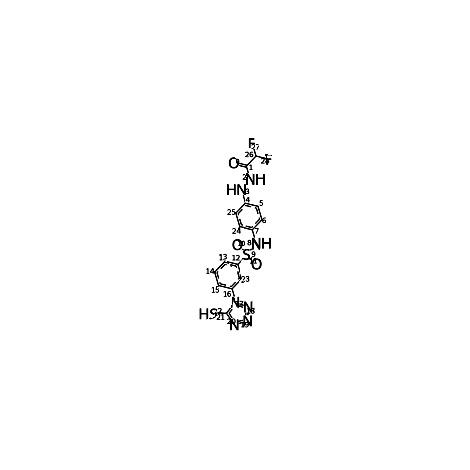 O=C(NNc1ccc(NS(=O)(=O)c2cccc(-n3nnnc3S)c2)cc1)C(F)F